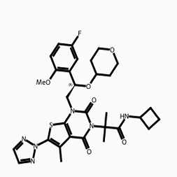 COc1ccc(F)cc1[C@H](Cn1c(=O)n(C(C)(C)C(=O)NC2CCC2)c(=O)c2c(C)c(-n3nccn3)sc21)OC1CCOCC1